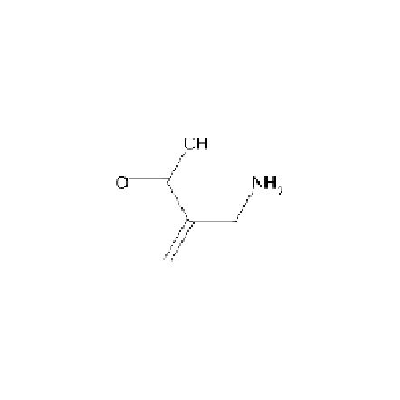 C=C(CN)C(=O)O